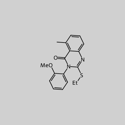 CCSc1nc2cccc(C)c2c(=O)n1-c1ccccc1OC